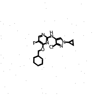 Fc1cnc(Nc2cn(C3CC3)nc2Cl)nc1OCC1CCCCC1